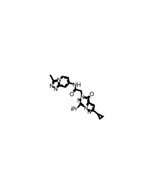 Cc1nnc2cc(NC(=O)Cn3nc(C(C)C)n4nc(C5CC5)cc4c3=O)ccn12